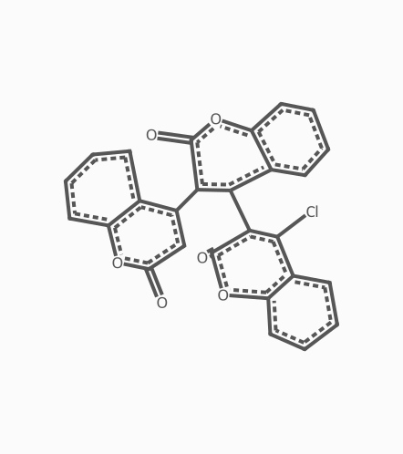 O=c1cc(-c2c(-c3c(Cl)c4ccccc4oc3=O)c3ccccc3oc2=O)c2ccccc2o1